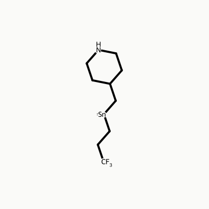 FC(F)(F)C[CH2][Sn][CH2]C1CCNCC1